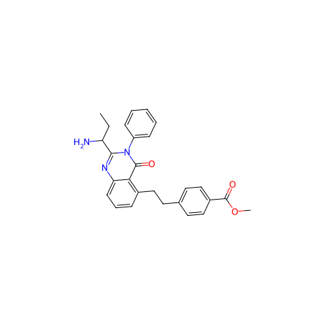 CCC(N)c1nc2cccc(CCc3ccc(C(=O)OC)cc3)c2c(=O)n1-c1ccccc1